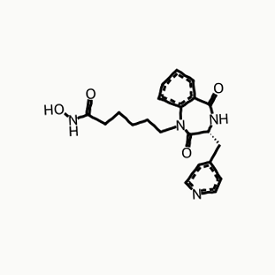 O=C(CCCCCN1C(=O)[C@@H](Cc2ccncc2)NC(=O)c2ccccc21)NO